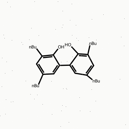 CCCCc1cc(CCCC)c(O)c(-c2cc(CCCC)cc(CCCC)c2O)c1